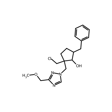 COCc1ncn(CC2(CCl)CCC(Cc3ccccc3)C2O)n1